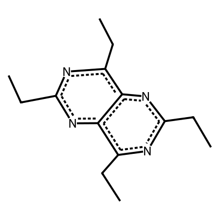 CCc1nc(CC)c2nc(CC)nc(CC)c2n1